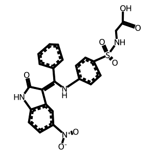 O=C(O)CNS(=O)(=O)c1ccc(NC(=C2C(=O)Nc3ccc([N+](=O)[O-])cc32)c2ccccc2)cc1